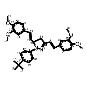 COc1ccc(C=CC2=NN(c3ccc(C(C)(C)C)cc3)C(C=Cc3ccc(OC)c(OC)c3)C2)cc1OC